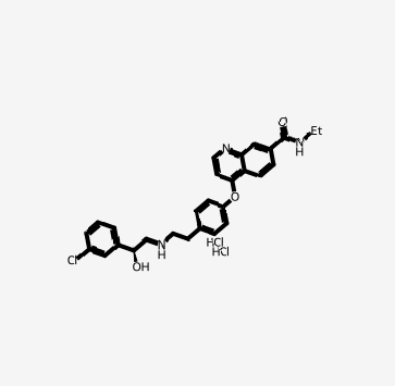 CCNC(=O)c1ccc2c(Oc3ccc(CCNC[C@@H](O)c4cccc(Cl)c4)cc3)ccnc2c1.Cl.Cl